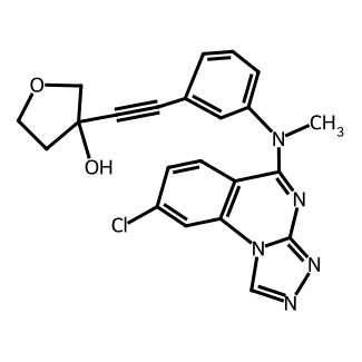 CN(c1cccc(C#CC2(O)CCOC2)c1)c1nc2nncn2c2cc(Cl)ccc12